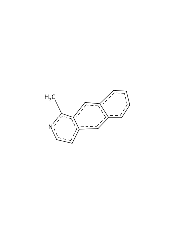 Cc1nccc2cc3ccccc3cc12